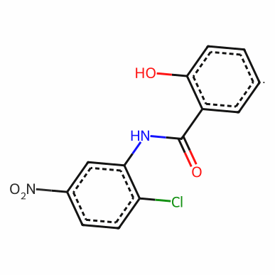 O=C(Nc1cc([N+](=O)[O-])ccc1Cl)c1c[c]ccc1O